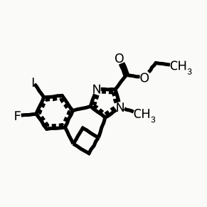 CCOC(=O)c1nc2c(n1C)C1CC(C1)c1cc(F)c(I)cc1-2